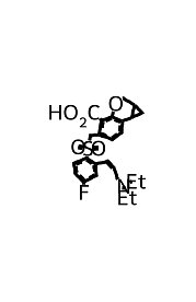 CCN(CC)C/C=C\c1cc(F)ccc1S(=O)(=O)Cc1ccc2c(c1C(=O)O)OCC1CC21